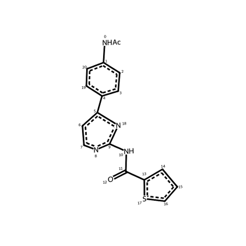 CC(=O)Nc1ccc(-c2ccnc(NC(=O)c3cccs3)n2)cc1